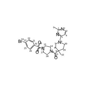 Cc1nccc(N2CCC(C)(C(=O)N3CCN(S(=O)(=O)c4ccc(Br)cc4)CC3)CC2)n1